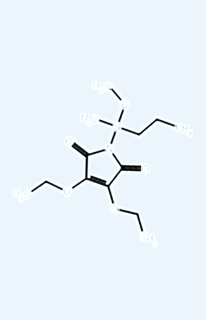 CCC[Si](C)(O[SiH3])N1C(=O)C(OCC)=C(OCC)C1=O